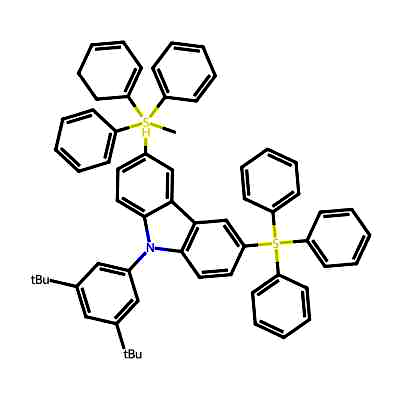 CC(C)(C)c1cc(-n2c3ccc(S(c4ccccc4)(c4ccccc4)c4ccccc4)cc3c3cc([SH](C)(C4=CC=CCC4)(c4ccccc4)c4ccccc4)ccc32)cc(C(C)(C)C)c1